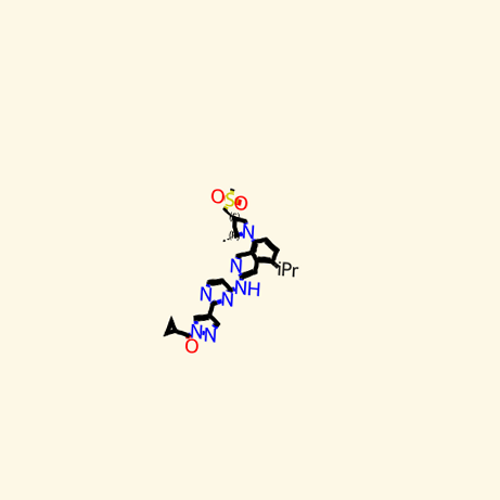 CC(C)c1ccc(N2C[C@H](CS(C)(=O)=O)[C@H]2C)c2cnc(Nc3ccnc(-c4cnn(C(=O)C5CC5)c4)n3)cc12